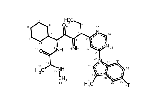 CC[C@H](C(=N)C(=O)[C@@H](NC(=O)[C@H](C)NC)C1CCCCC1)c1cc(-n2cc(C)c3cc(F)ccc32)ncn1